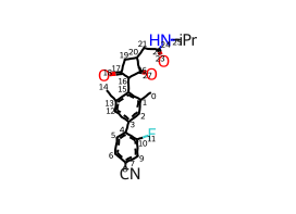 Cc1cc(-c2ccc(C#N)cc2F)cc(C)c1C1C(=O)CC(CC(=O)NC(C)C)C1=O